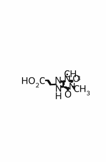 Cn1c(=O)c2[nH]c(/C=C/C(=O)O)nc2n(C)c1=O